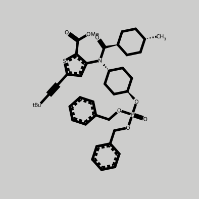 COC(=O)c1sc(C#CC(C)(C)C)cc1N(C(=O)[C@H]1CC[C@H](C)CC1)[C@H]1CC[C@H](OP(=O)(OCc2ccccc2)OCc2ccccc2)CC1